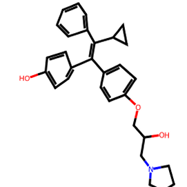 Oc1ccc(C(=C(c2ccccc2)C2CC2)c2ccc(OCC(O)CN3CCCC3)cc2)cc1